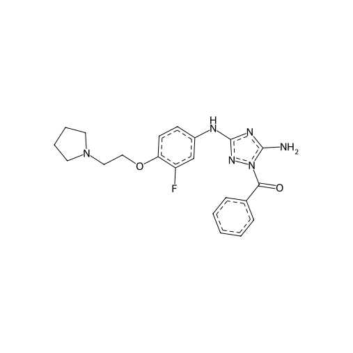 Nc1nc(Nc2ccc(OCCN3CCCC3)c(F)c2)nn1C(=O)c1ccccc1